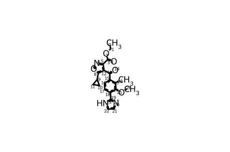 CCOC(=O)c1noc(C2CC2)c1C(=O)c1ccc(-c2ncc[nH]2)c(OC)c1C